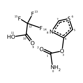 NC(=O)Oc1cscn1.O=C(O)C(F)(F)F